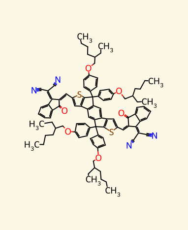 CCCCC(CC)COc1ccc(C2(c3ccc(OCC(CC)CCCC)cc3)c3cc4c(cc3-c3cc(/C=C5\C(=O)c6ccccc6C5=C(C#N)C#N)sc32)C(c2ccc(OCC(CC)CCCC)cc2)(c2ccc(OCC(CC)CCCC)cc2)c2sc(/C=C3\C(=O)c5ccccc5C3=C(C#N)C#N)cc2-4)cc1